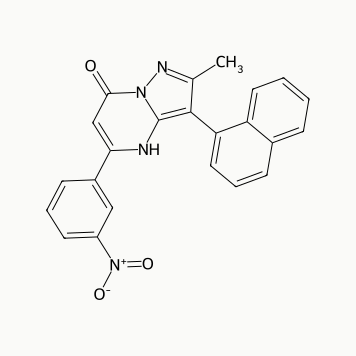 Cc1nn2c(=O)cc(-c3cccc([N+](=O)[O-])c3)[nH]c2c1-c1cccc2ccccc12